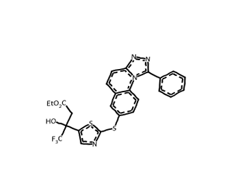 CCOC(=O)CC(O)(c1cnc(Sc2ccc3c(ccc4nnc(-c5ccccc5)n43)c2)s1)C(F)(F)F